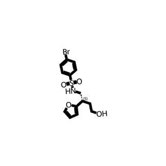 O=S(=O)(NC[C@H](CCO)c1ccco1)c1ccc(Br)cc1